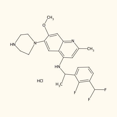 COc1cc2nc(C)cc(NC(C)c3cccc(C(F)F)c3F)c2cc1N1CCNCC1.Cl